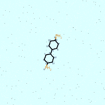 PC1CCC(C2CCC(P)CC2)CC1